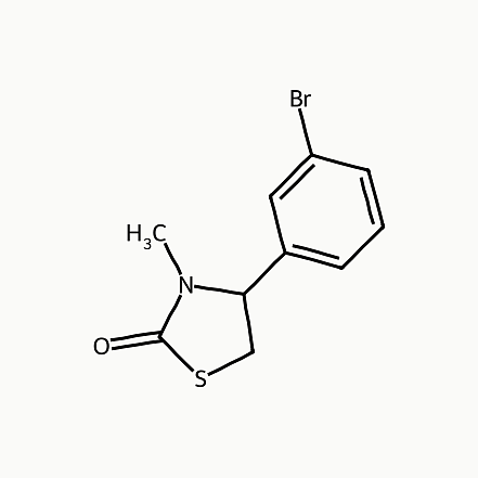 CN1C(=O)SCC1c1cccc(Br)c1